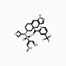 CN/C=C(\C=N)S(=O)(=O)N(C1COC1)[C@H]1CCC2=Cc3[nH]ncc3C[C@]2(C(=O)c2cc(C(F)(F)F)ccn2)C1